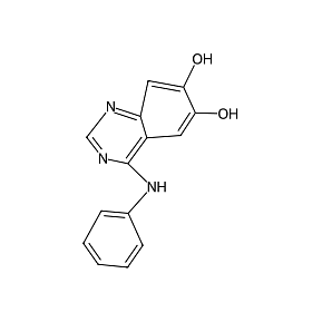 Oc1cc2ncnc(Nc3ccccc3)c2cc1O